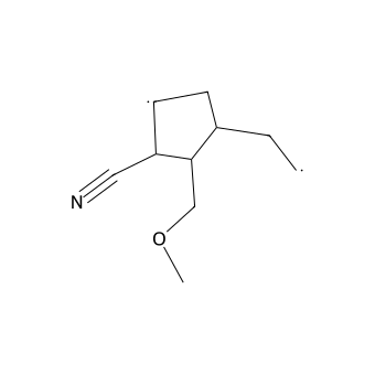 [CH2]CC1C[CH]C(C#N)C1COC